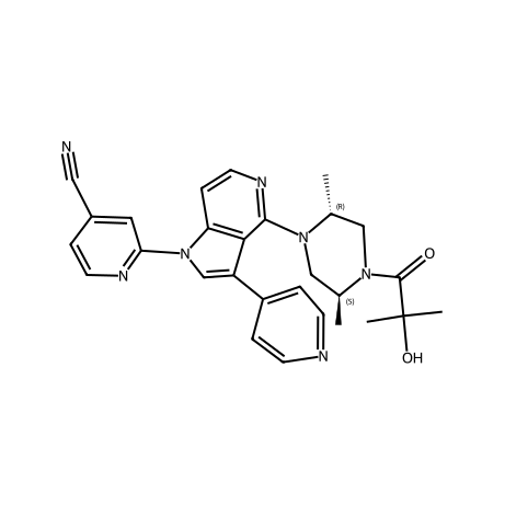 C[C@@H]1CN(C(=O)C(C)(C)O)[C@@H](C)CN1c1nccc2c1c(-c1ccncc1)cn2-c1cc(C#N)ccn1